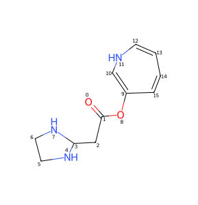 O=C(CC1NCCN1)OC1=CNC=CC=C1